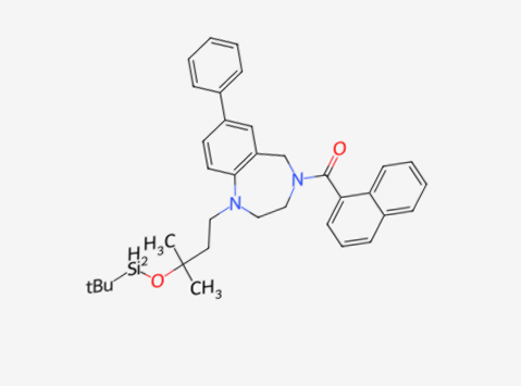 CC(C)(CCN1CCN(C(=O)c2cccc3ccccc23)Cc2cc(-c3ccccc3)ccc21)O[SiH2]C(C)(C)C